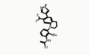 C=C(CC)Nc1cccc(N2CCCc3cc(-c4cnn(C)c4)c(C(F)F)cc32)c1C(C)CC